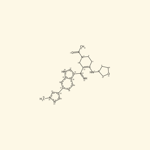 CC(=O)N1CCC(NC2CCOC2)=C(C(=N)c2c[nH]c3cc(-c4cnn(C)c4)ccc23)C1